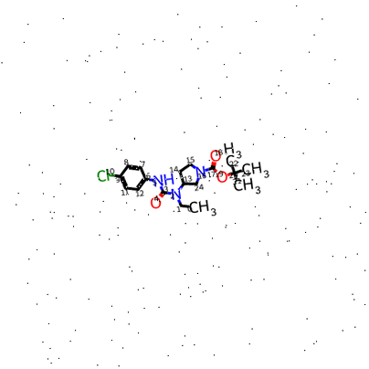 CCN(C(=O)Nc1ccc(Cl)cc1)C1CCN(C(=O)OC(C)(C)C)C1